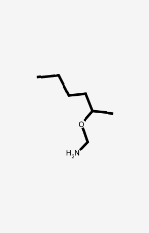 CCCCC(C)OCN